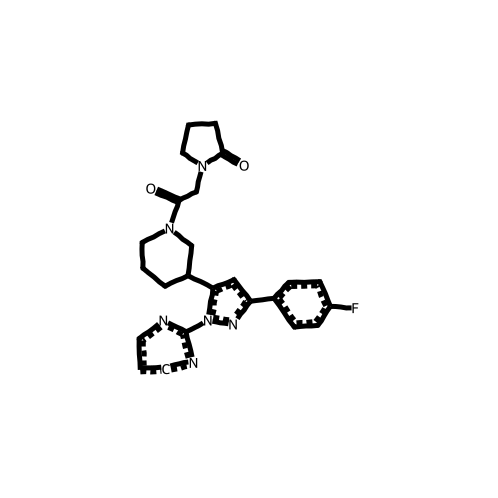 O=C1CCCN1CC(=O)N1CCCC(c2cc(-c3ccc(F)cc3)nn2-c2ncccn2)C1